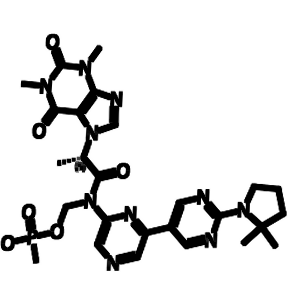 C[C@@H](C(=O)N(COP(C)(=O)O)c1cncc(-c2cnc(N3CCCC3(C)C)nc2)n1)n1cnc2c1c(=O)n(C)c(=O)n2C